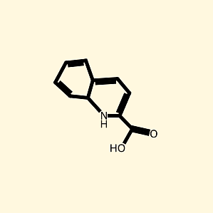 O=C(O)C1=CC=C2C=CC=CC2N1